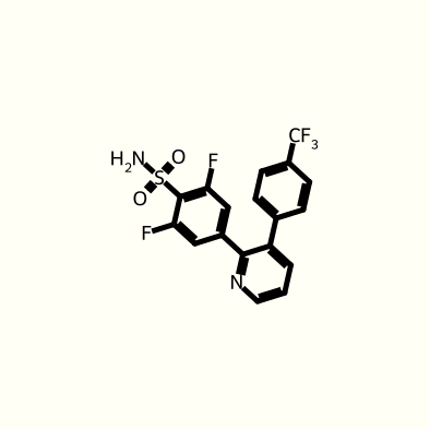 NS(=O)(=O)c1c(F)cc(-c2ncccc2-c2ccc(C(F)(F)F)cc2)cc1F